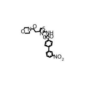 O=C(Cc1csc(NS(=O)(=O)c2ccc(-c3cccc([N+](=O)[O-])c3)cc2)n1)N1CCOCC1